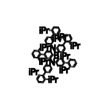 CC(C)c1cccc(C(C)C)c1-c1ccc(N2c3ccc(-c4c(C(C)C)cccc4C(C)C)cc3B3c4ccc(-c5c(C(C)C)cccc5C(C)C)cc4N(c4cccc(-c5c(C(C)C)cccc5C(C)C)c4)c4cc(-c5c(C(C)C)cccc5C(C)C)cc2c43)cc1